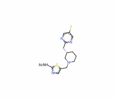 CC(=O)Nc1ncc(CN2CCC[C@@H](Cc3ncc(F)cn3)C2)s1